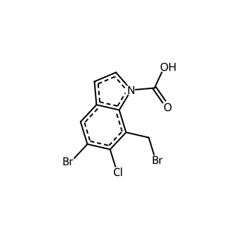 O=C(O)n1ccc2cc(Br)c(Cl)c(CBr)c21